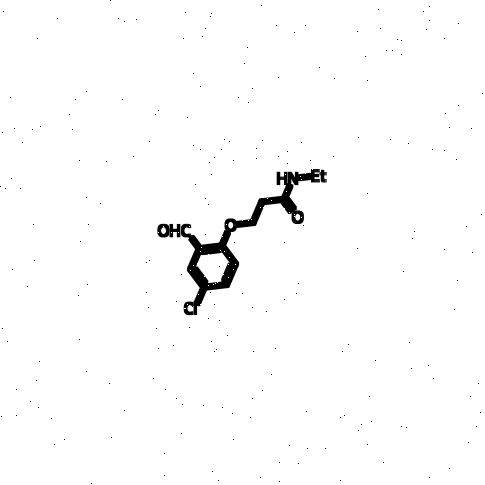 CCNC(=O)CCOc1ccc(Cl)cc1C=O